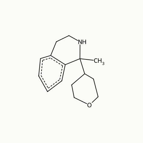 CC1(C2CCOCC2)NCCc2ccccc21